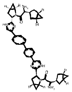 NC(C(=O)N1[C@@H]2C[C@@H]2C[C@H]1c1nc(-c2ccc(-c3ccc(-c4c[nH]c([C@@H]5C[C@H]6C[C@H]6N5C(=O)C(N)[C@H]5C[C@@H]6C[C@@H]6C5)n4)cc3)cc2)c[nH]1)[C@H]1C[C@@H]2C[C@@H]2C1